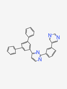 c1ccc(-c2cc(-c3ccccc3)cc(-c3ccnc(-c4cccc(-c5cncnc5)c4)n3)c2)cc1